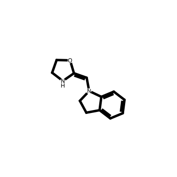 C(=C1NCCO1)N1CCc2ccccc21